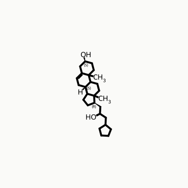 CC12CC[C@H](O)CC1=CC[C@@H]1C2CCC2(C)C1CC[C@@H]2CC(O)CC1CCCC1